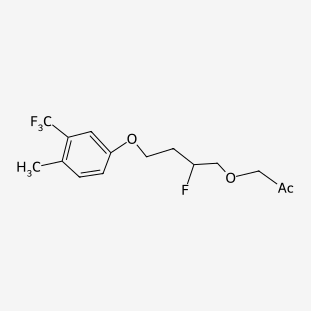 CC(=O)COCC(F)CCOc1ccc(C)c(C(F)(F)F)c1